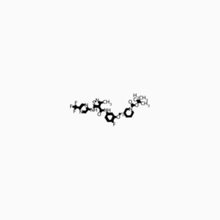 Cc1nsc(Nc2cnc(C(F)(F)F)cn2)c1C(=O)Nc1ccc(F)c(OC[C@H]2CCCN(C(=O)OC(C)(C)C)C2)c1